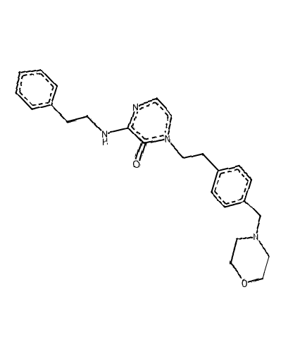 O=c1c(NCCc2ccccc2)nccn1CCc1ccc(CN2CCOCC2)cc1